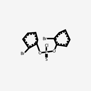 S=P(Cl)(Oc1ccccc1Br)Oc1ccccc1Br